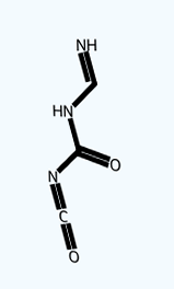 N=CNC(=O)N=C=O